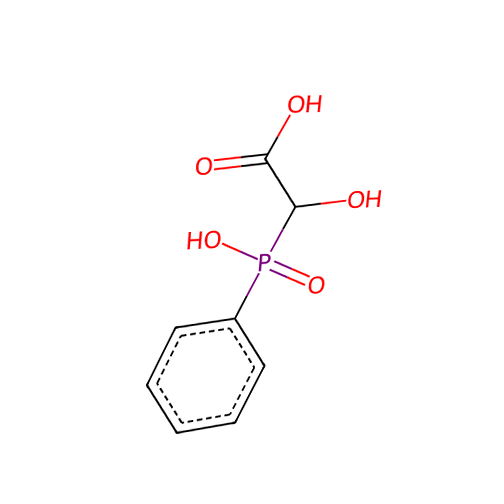 O=C(O)C(O)P(=O)(O)c1ccccc1